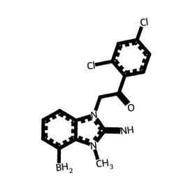 Bc1cccc2c1n(C)c(=N)n2CC(=O)c1ccc(Cl)cc1Cl